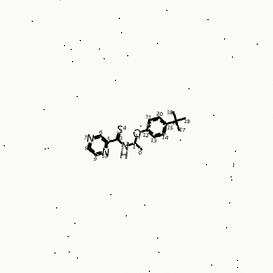 CC(NC(=S)c1cnccn1)Oc1ccc(C(C)(C)C)cc1